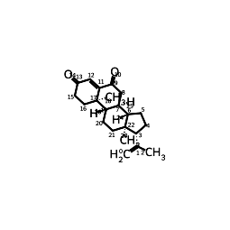 C=C(C)[C@H]1CC[C@H]2[C@@H]3CC(=O)C4=CC(=O)CC[C@]4(C)[C@H]3CC[C@]12C